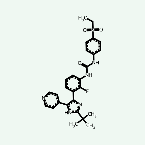 CCS(=O)(=O)c1ccc(NC(=O)Nc2cccc(-c3nc(C(C)(C)C)[nH]c3-c3ccncc3)c2F)cc1